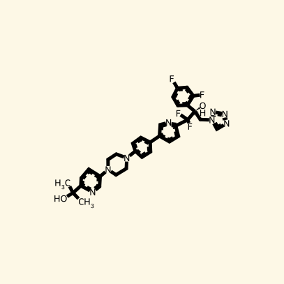 CC(C)(O)c1ccc(N2CCN(c3ccc(-c4ccc(C(F)(F)[C@](O)(Cn5cnnn5)c5ccc(F)cc5F)nc4)cc3)CC2)cn1